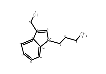 CCCCn1cc(CO)c2ccccc21